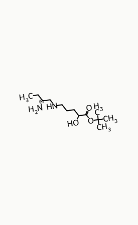 CC[C@@H](N)CNCCCC(O)C(=O)OC(C)(C)C